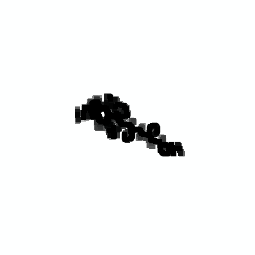 O=C(CCO)CCC(=O)CCC(=O)c1c(Br)cc2[nH]c[c]c2c1Br